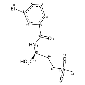 CCc1cccc(C(=O)N[C@@H](CCS(C)(=O)=O)C(=O)O)c1